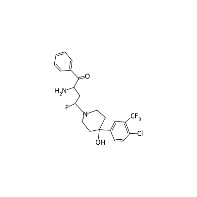 NC(CC(F)N1CCC(O)(c2ccc(Cl)c(C(F)(F)F)c2)CC1)C(=O)c1ccccc1